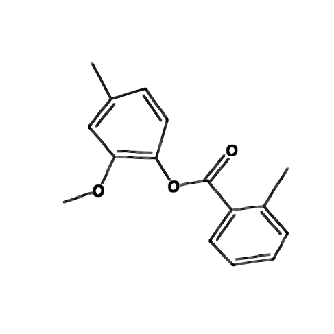 COc1cc(C)ccc1OC(=O)c1ccccc1C